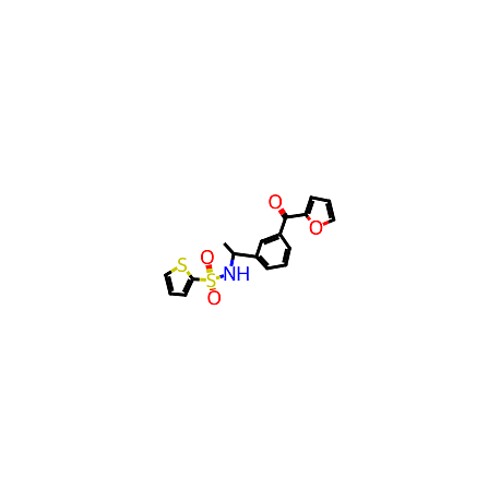 CC(NS(=O)(=O)c1cccs1)c1cccc(C(=O)c2ccco2)c1